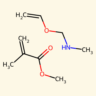 C=C(C)C(=O)OC.C=COCNC